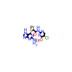 CCOc1nc(NC(=O)[C@@H](Sc2nc(N)nc3nc[nH]c23)C(C)C)ncc1Cl